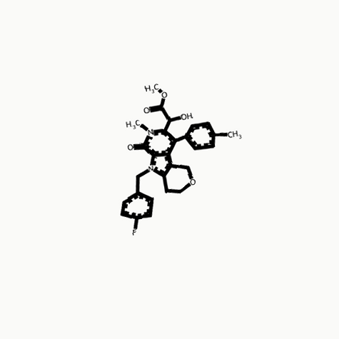 COC(=O)C(O)c1c(-c2ccc(C)cc2)c2c3c(n(Cc4ccc(F)cc4)c2c(=O)n1C)CCOC3